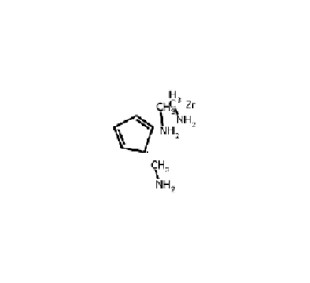 CN.CN.CN.[CH]1C=CC=C1.[Zr]